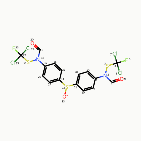 O=CN(SC(F)(Cl)Cl)c1ccc([S+]([O-])c2ccc(N(C=O)SC(F)(Cl)Cl)cc2)cc1